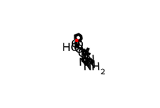 CC1C(C)[C@@H](COP(=O)(O)OC2CCCCCC2)O[C@H]1n1cnc2c(N)ncnc21